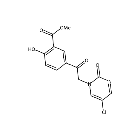 COC(=O)c1cc(C(=O)Cn2cc(Cl)cnc2=O)ccc1O